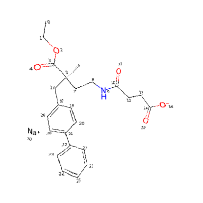 CCOC(=O)[C@@](C)(CCNC(=O)CCC(=O)[O-])Cc1ccc(-c2ccccc2)cc1.[Na+]